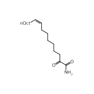 CCCCCCCC/C=C\CCCCCCC(=O)C(N)=O